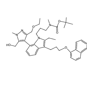 CCOCc1nn(C)c(CO)c1-c1cccc2c(CCCOc3cccc4ccccc34)c(CC)n(CCCN(C)C(=O)OC(C)(C)C)c12